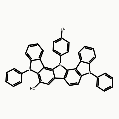 N#Cc1ccc(-n2c3c(ccc4c3c3ccccc3n4-c3ccccc3)c3cc(C#N)c4c(c5ccccc5n4-c4ccccc4)c32)cc1